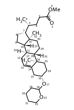 COC(=O)CC[C@@H](C)[C@H]1CC[C@H]2[C@@H]3CC=C4C[C@@H](OC5CCCCO5)CC[C@]4(C)[C@H]3CC[C@]12C